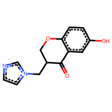 O=C1c2cc(O)ccc2OCC1Cn1ccnc1